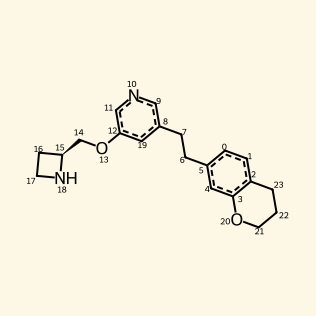 c1cc2c(cc1CCc1cncc(OC[C@@H]3CCN3)c1)OCCC2